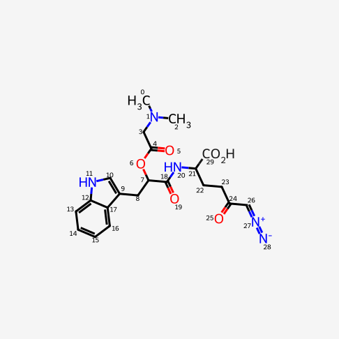 CN(C)CC(=O)OC(Cc1c[nH]c2ccccc12)C(=O)NC(CCC(=O)C=[N+]=[N-])C(=O)O